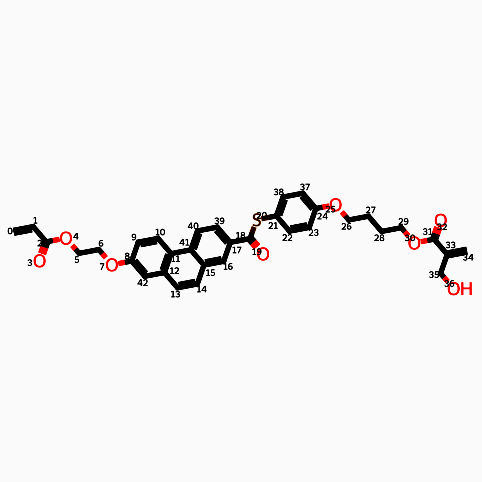 C=CC(=O)OCCOc1ccc2c(ccc3cc(C(=O)Sc4ccc(OCCCCOC(=O)C(=C)CO)cc4)ccc32)c1